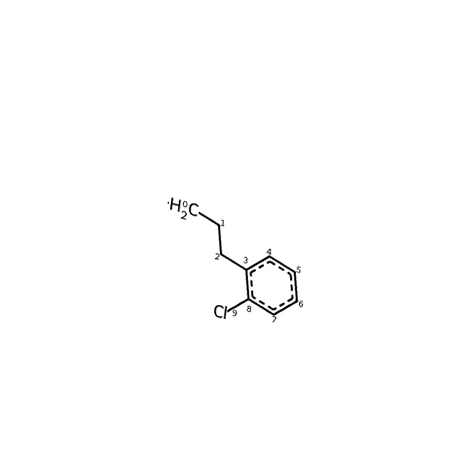 [CH2]CCc1ccccc1Cl